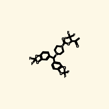 CC(=O)C(OC(=O)N1CCN(C(c2ccc3c(c2)OC(F)(F)O3)c2ccc3c(c2)OC(F)(F)O3)CC1)C(F)(F)F